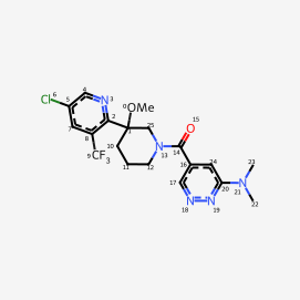 COC1(c2ncc(Cl)cc2C(F)(F)F)CCCN(C(=O)c2cnnc(N(C)C)c2)C1